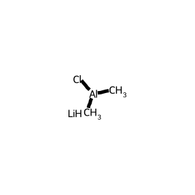 [CH3][Al]([CH3])[Cl].[LiH]